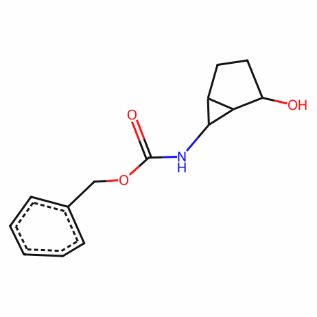 O=C(NC1C2CCC(O)C21)OCc1ccccc1